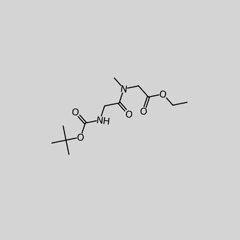 CCOC(=O)CN(C)C(=O)CNC(=O)OC(C)(C)C